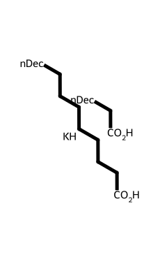 CCCCCCCCCCCC(=O)O.CCCCCCCCCCCCCCCCCC(=O)O.[KH]